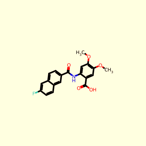 COc1cc(NC(=O)c2ccc3cc(F)ccc3c2)c(C(=O)O)cc1OC